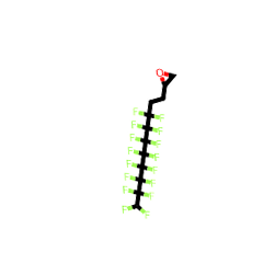 FC(F)C(F)(F)C(F)(F)C(F)(F)C(F)(F)C(F)(F)C(F)(F)C(F)(F)CCC1CO1